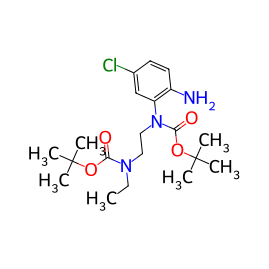 CCN(CCN(C(=O)OC(C)(C)C)c1cc(Cl)ccc1N)C(=O)OC(C)(C)C